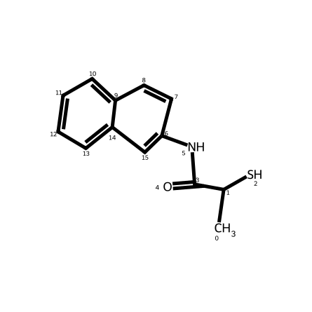 CC(S)C(=O)Nc1ccc2ccccc2c1